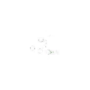 CC1=[C]([Zr](=[CH]c2ccc(Cl)cc2)(=[CH]c2ccc(Cl)cc2)[c]2cccc3c2Cc2ccccc2-3)C(C)C=C1CC12CC3CC(CC(C3)C1)C2.Cl.Cl